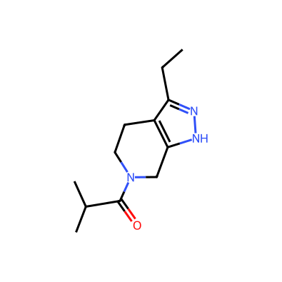 CCc1n[nH]c2c1CCN(C(=O)C(C)C)C2